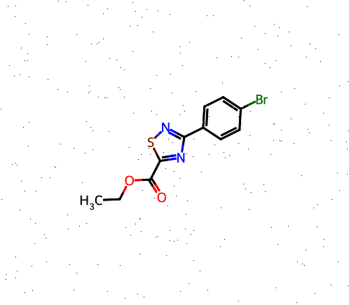 CCOC(=O)c1nc(-c2ccc(Br)cc2)ns1